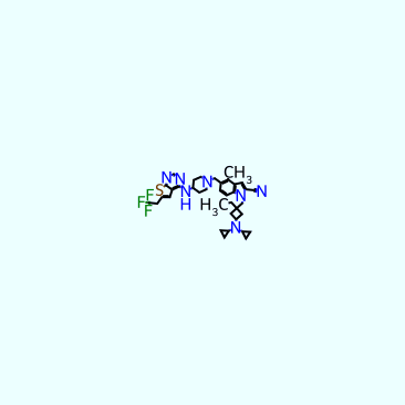 CCC1(Cn2c(C#N)cc3c(C)c(CN4CCC(Nc5ncnc6sc(CC(F)(F)F)cc56)CC4)ccc32)CC(N(C2CC2)C2CC2)C1